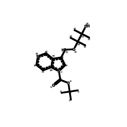 CC(C)(C)OC(=O)n1cc(BOC(C)(C)C(C)(C)O)c2cnccc21